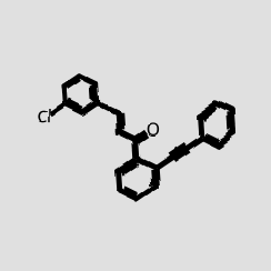 O=C(/C=C/c1cccc(Cl)c1)c1ccccc1C#Cc1ccccc1